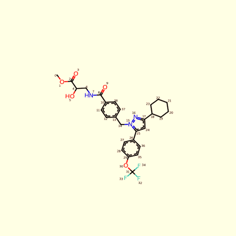 COC(=O)C(O)CNC(=O)c1ccc(Cn2nc(C3CCCCC3)cc2-c2ccc(OC(F)(F)F)cc2)cc1